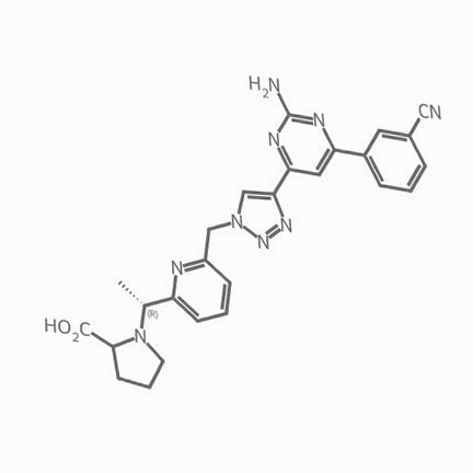 C[C@H](c1cccc(Cn2cc(-c3cc(-c4cccc(C#N)c4)nc(N)n3)nn2)n1)N1CCCC1C(=O)O